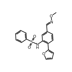 CON=Cc1ccc(-c2ccco2)c(NS(=O)(=O)c2ccccc2)c1